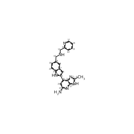 Cc1nc2c(-c3cc4cc(CNCc5ccccn5)ccc4[nH]3)cc(N)nc2[nH]1